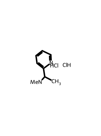 CNC(C)c1ccccn1.Cl.Cl